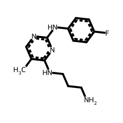 Cc1cnc(Nc2ccc(F)cc2)nc1NCCCN